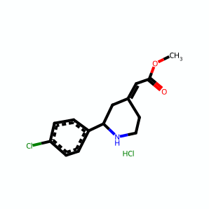 COC(=O)C=C1CCNC(c2ccc(Cl)cc2)C1.Cl